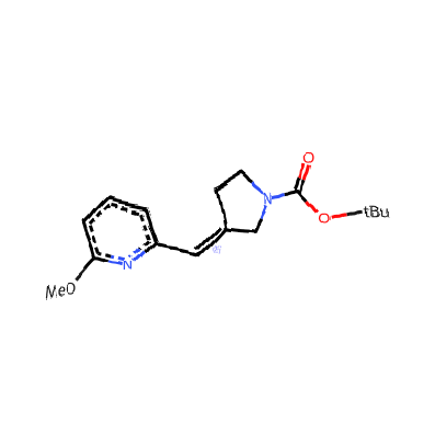 COc1cccc(/C=C2\CCN(C(=O)OC(C)(C)C)C2)n1